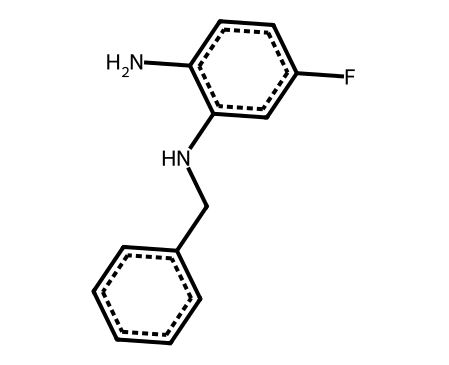 Nc1ccc(F)cc1NCc1ccccc1